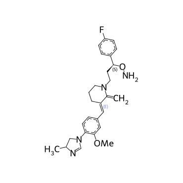 C=C1/C(=C/c2ccc(N3C=NC(C)C3)c(OC)c2)CCCN1CC[C@H](ON)c1ccc(F)cc1